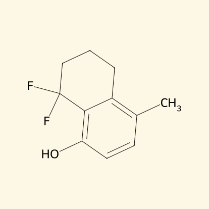 Cc1ccc(O)c2c1CCCC2(F)F